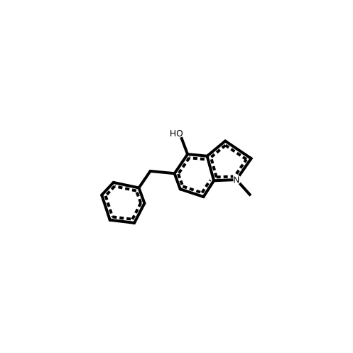 Cn1ccc2c(O)c(Cc3ccccc3)ccc21